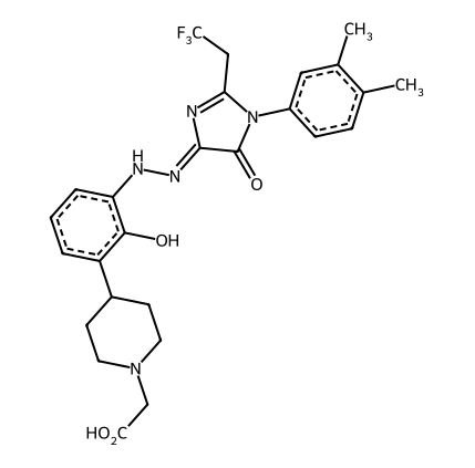 Cc1ccc(N2C(=O)C(=NNc3cccc(C4CCN(CC(=O)O)CC4)c3O)N=C2CC(F)(F)F)cc1C